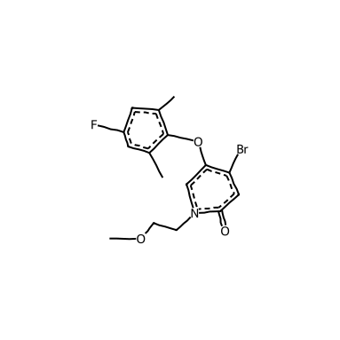 COCCn1cc(Oc2c(C)cc(F)cc2C)c(Br)cc1=O